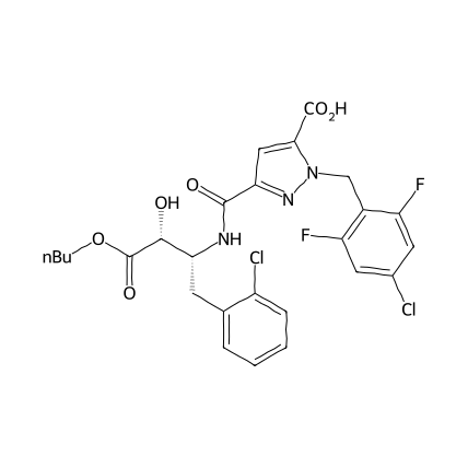 CCCCOC(=O)[C@H](O)[C@@H](Cc1ccccc1Cl)NC(=O)c1cc(C(=O)O)n(Cc2c(F)cc(Cl)cc2F)n1